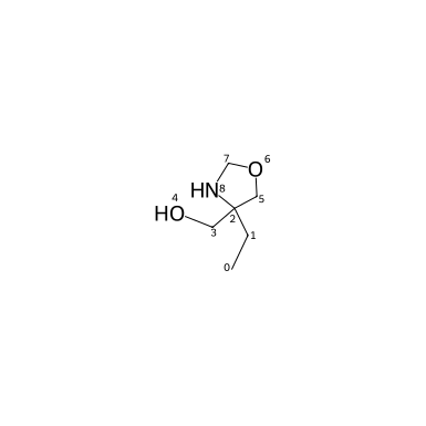 CCC1(CO)COCN1